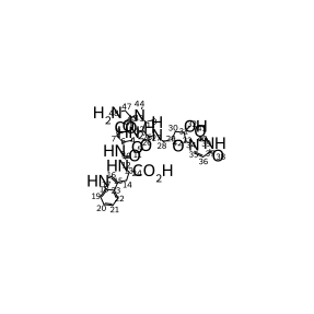 C[C@@H]([C@H](NC(=O)[C@H](CC(=O)O)NC(=O)N[C@@H](Cc1c[nH]c2ccccc12)C(=O)O)C(=O)NC[C@H]1C[C@@H](O)[C@H](n2ccc(=O)[nH]c2=O)O1)N(C)C(=O)CN